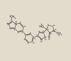 Cc1ncc2cc(-c3cccc(-c4cc(C5(O)CCN(C)C5=O)on4)c3)ccn12